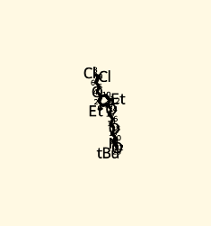 CCc1cc(OCC=C(Cl)Cl)cc(CC)c1OCCCOC/C=N/OC(C)(C)C